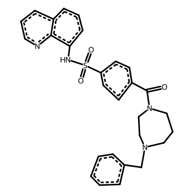 O=C(c1ccc(S(=O)(=O)Nc2cccc3cccnc23)cc1)N1CCCN(Cc2ccccc2)CC1